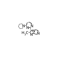 Cc1nc2cnccn2c1C1=NC(N2CCCCC2)=CC=C=N1